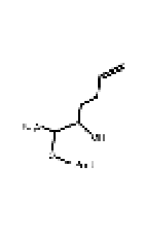 C=CCCC(O)C(OCCCCC)S(=O)(=O)O